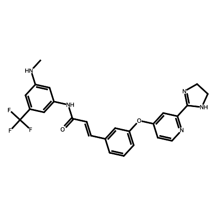 CNc1cc(NC(=O)/C=C/c2cccc(Oc3ccnc(C4=NCCN4)c3)c2)cc(C(F)(F)F)c1